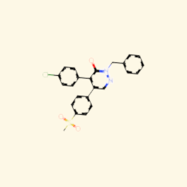 CS(=O)(=O)c1ccc(-c2cnn(Cc3ccccc3)c(=O)c2-c2ccc(Cl)cc2)cc1